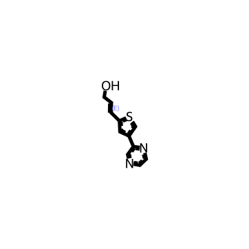 OC/C=C/c1cc(-c2cnccn2)cs1